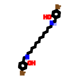 Oc1cc(Br)ccc1/C=N/CCCCCCCCCCCC/N=C/c1ccc(Br)cc1O